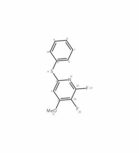 COc1cc(Sc2ccccc2)nc(F)c1F